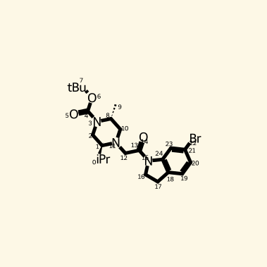 CC(C)[C@H]1CN(C(=O)OC(C)(C)C)[C@H](C)CN1CC(=O)N1CCc2ccc(Br)cc21